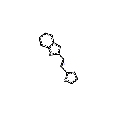 C(=C\c1cccs1)/c1cc2ccccc2[nH]1